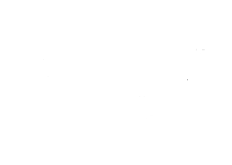 Cc1cc(B(O)OCC(C)(C)CO)ccc1CCC(=O)O